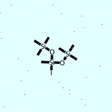 C[Si](C)(C)O[Si](C)(I)O[Si](C)(C)C